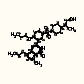 CCCOc1ccc(S(=O)(=O)N2CCC(C(C)CO)CC2)cc1-c1nc2c(CCC)cn(C)c2c(=O)[nH]1